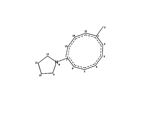 Cc1cccccc(N2CCCC2)ccc1